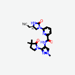 Cn1cc(NC(=O)c2cccc(N3C[C@@H](CC#N)NC3=O)n2)c(N2CCC(C)(C)C2=O)n1